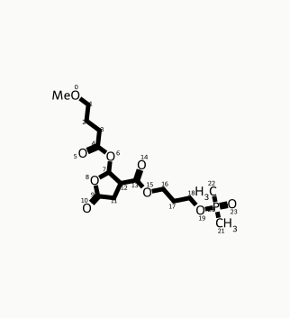 COCCCC(=O)OC1OC(=O)CC1C(=O)OCCCOP(C)(C)=O